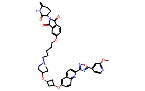 C=C1CCC(N2C(=O)c3ccc(OCCCCCN4CCC(O[C@H]5C[C@H](Oc6ccc7nc(-c8noc(-c9ccnc(OC)c9)n8)ccc7c6)C5)CC4)cc3C2=O)C(=O)N1